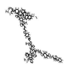 CC(C)N(C)[C@@H]1CC[C@H](N2CC[C@H](Nc3ncnc4ccc(C(F)(F)F)cc34)C2=O)[C@H](NC(=O)C2CCC(NC(=O)CCCOC3CCC(OCCNC(=O)CN(CCNC(=O)[C@H]4CC(=O)N(C)[C@@H]4c4cccnc4)CC(=O)NCCOC4CCC(OCCCC(=O)NC5CCCCC5)CC4)CC3)CC2)C1